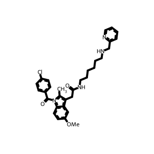 COc1ccc2c(c1)c(CC(=O)NCCCCCCNCc1ccccn1)c(C)n2C(=O)c1ccc(Cl)cc1